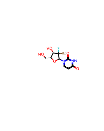 O=c1ccn(C2O[C@H](CO)[C@@H](O)[C@]2(F)Br)c(=O)[nH]1